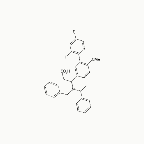 COc1ccc(C(CC(=O)O)N(Cc2ccccc2)C(C)c2ccccc2)cc1-c1ccc(F)cc1F